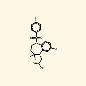 Cc1ccc(S(=O)(=O)N2CCC(F)(F)[C@H](CC(=O)O)c3cc(F)ccc32)cc1